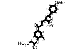 CCC(CC(=O)O)Oc1ccc(C(=O)CCc2sc(-c3ccc(OC)cc3)nc2C(C)C)cc1C